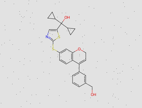 OCc1cccc(C2=CCOc3cc(Sc4ncc(C(O)(C5CC5)C5CC5)s4)ccc32)c1